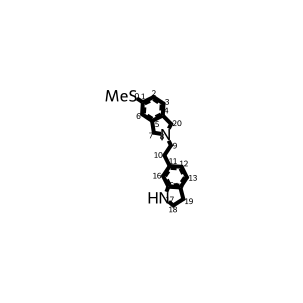 CSc1ccc2c(c1)CN(CCc1ccc3c(c1)NCC3)C2